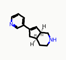 C1=C(c2cccnc2)C[C@@H]2CCNC[C@H]12